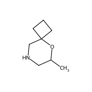 CC1CNCC2(CCC2)O1